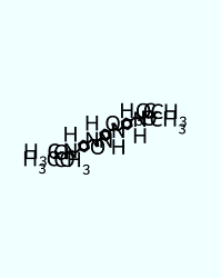 CC(C)(C)OC(=O)NCc1ccc(NC(=O)c2ccc(C(=O)Nc3ccc(CNC(=O)OC(C)(C)C)cc3)nc2)cc1